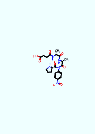 C[C@H](NC(=O)CCC(=O)O)C(=O)N[C@@H](C)C(=O)N(C(=O)[C@@H]1CCCN1)c1ccc([N+](=O)[O-])cc1